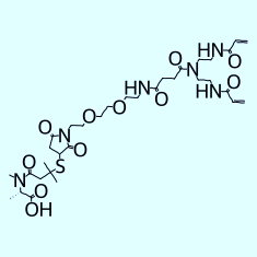 C=CC(=O)NCCN(CCNC(=O)C=C)C(=O)CCC(=O)NCCOCCOCCN1C(=O)CC(SC(C)(C)CC(=O)N(C)[C@@H](C)C(=O)O)C1=O